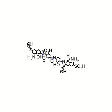 Nc1cc(S(=O)(=O)O)cc2cc(SOOO)c(/N=N/c3ccc(/N=[N+](\[O-])c4ccc(/N=N/c5c(S(=O)(=O)O)cc6cc(SOOO)cc(N)c6c5O)c(O)c4)cc3O)c(O)c12